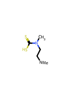 CNCCN(C)C(=S)S